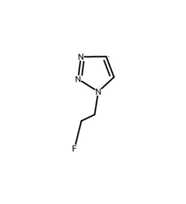 FCCn1c[c]nn1